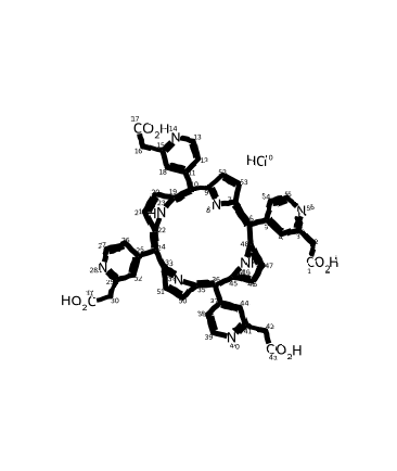 Cl.O=C(O)Cc1cc(-c2c3nc(c(-c4ccnc(CC(=O)O)c4)c4ccc([nH]4)c(-c4ccnc(CC(=O)O)c4)c4nc(c(-c5ccnc(CC(=O)O)c5)c5ccc2[nH]5)C=C4)C=C3)ccn1